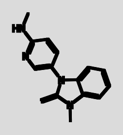 C=C1N(C)c2ccccc2N1c1ccc(NC)nc1